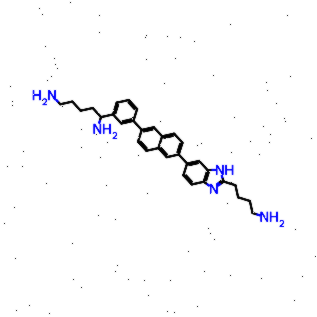 NCCCCc1nc2ccc(-c3ccc4cc(-c5cccc(C(N)CCCCN)c5)ccc4c3)cc2[nH]1